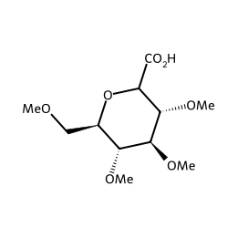 COC[C@H]1OC(C(=O)O)[C@H](OC)[C@@H](OC)[C@@H]1OC